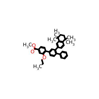 CCCOc1cc(C(=O)OC)ccc1-c1ccc(-c2ccccc2)c(-c2ccc3c(c2)C(C)(C)CCC3(C)C)c1